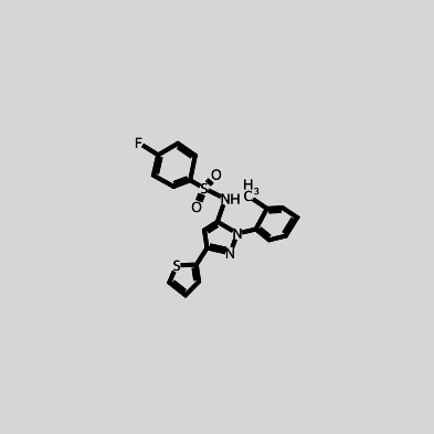 Cc1ccccc1-n1nc(-c2cccs2)cc1NS(=O)(=O)c1ccc(F)cc1